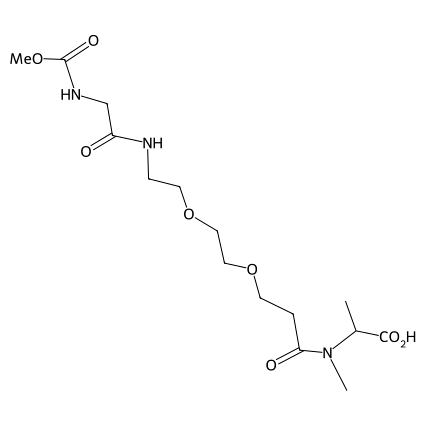 COC(=O)NCC(=O)NCCOCCOCCC(=O)N(C)C(C)C(=O)O